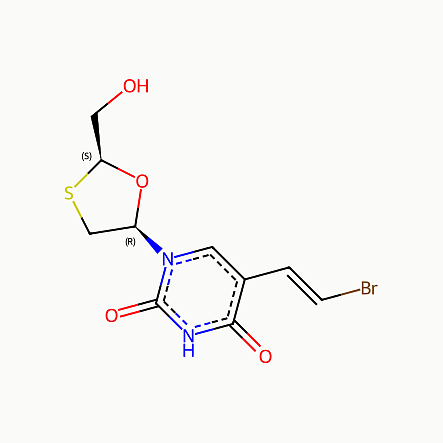 O=c1[nH]c(=O)n([C@H]2CS[C@@H](CO)O2)cc1C=CBr